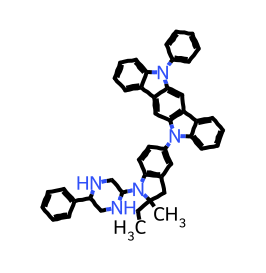 CCC1(C)Cc2cc(-n3c4ccccc4c4cc5c(cc43)c3ccccc3n5-c3ccccc3)ccc2N1C1CNC(c2ccccc2)CN1